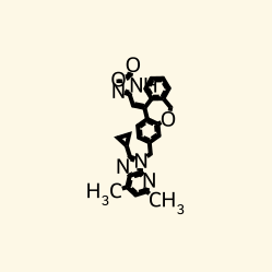 Cc1cc(C)c2nc(C3CC3)n(Cc3ccc4c(c3)OCc3ccccc3/C4=C\c3noc(=O)[nH]3)c2n1